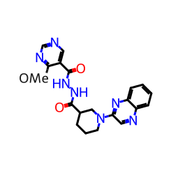 COc1ncncc1C(=O)NNC(=O)C1CCCN(c2cnc3ccccc3n2)C1